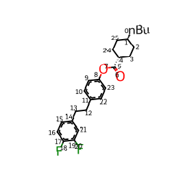 CCCC[C@H]1CC[C@H](C(=O)Oc2ccc(CCc3ccc(F)c(F)c3)cc2)CC1